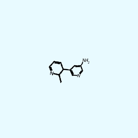 CC1N=CC=CC1c1cncc(N)c1